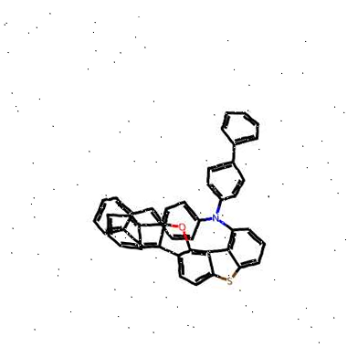 c1ccc(-c2ccc(N(c3ccc(-c4ccccc4)cc3)c3cccc4sc5ccc6c7cc8ccccc8cc7oc6c5c34)cc2)cc1